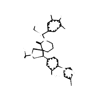 COc1cc(C2CN(C(N)=O)CC23CCCN([C@@H](CO)c2cc(F)c(F)c(F)c2)C3=O)ccc1-n1cnc(C)c1